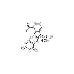 C=C(C)c1cccc2c1CN(Cc1c(C)cc(C)cc1C)C2C(=O)O.Cl